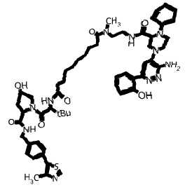 Cc1ncsc1-c1ccc(CNC(=O)C2CC(O)CN2C(=O)C(NC(=O)CCCCCCCCC(=O)N(C)CCNC(=O)C2CN(c3cc(-c4ccccc4O)nnc3N)CCN2c2ccccc2)C(C)(C)C)cc1